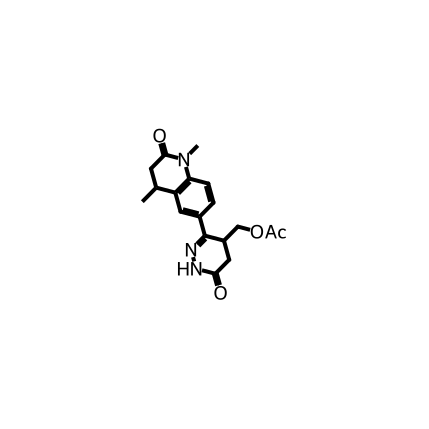 CC(=O)OCC1CC(=O)NN=C1c1ccc2c(c1)C(C)CC(=O)N2C